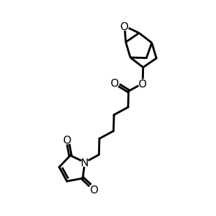 O=C(CCCCCN1C(=O)C=CC1=O)OC1CC2CC1C1OC21